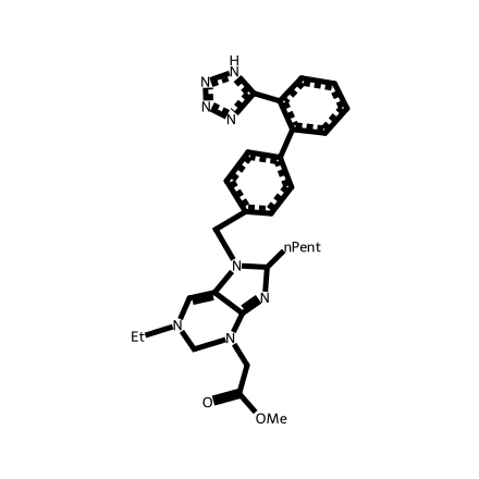 CCCCCC1N=C2C(=CN(CC)CN2CC(=O)OC)N1Cc1ccc(-c2ccccc2-c2nnn[nH]2)cc1